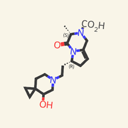 C[C@H]1C(=O)N2C(=CC[C@@H]2CCN2CCC3(CC3)C(O)C2)CN1C(=O)O